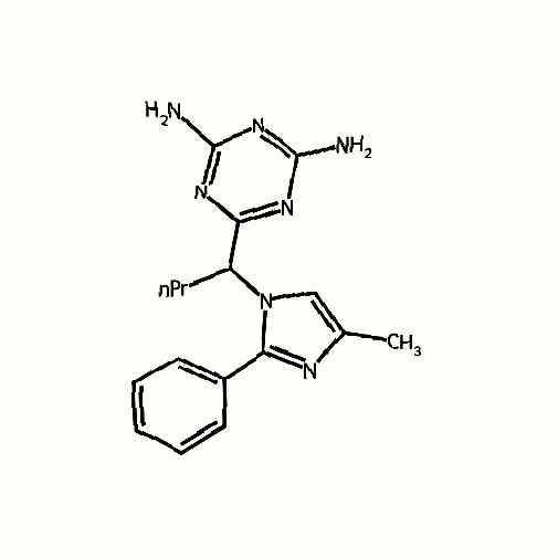 CCCC(c1nc(N)nc(N)n1)n1cc(C)nc1-c1ccccc1